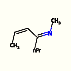 C/C=C\C(CCC)=N/C